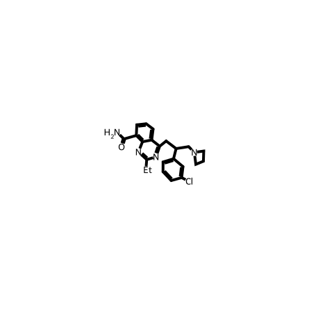 CCc1nc(CC(CN2CCC2)c2cccc(Cl)c2)c2cccc(C(N)=O)c2n1